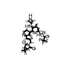 Cc1cc(C#N)nc(-c2ccnc3cc(CN4C(=O)C5C(C4=O)C5(C)C)sc23)c1NC1CNC1.O=C(O)C(F)(F)F